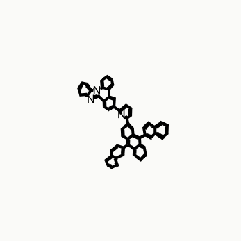 c1cc(-c2ccc3c(-c4ccc5ccccc5c4)c4ccccc4c(-c4ccc5ccccc5c4)c3c2)nc(-c2ccc3c(c2)c2ccccc2n2c4ccccc4nc32)c1